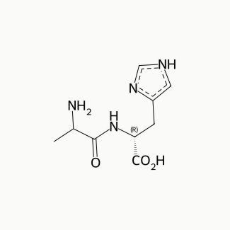 CC(N)C(=O)N[C@H](Cc1c[nH]cn1)C(=O)O